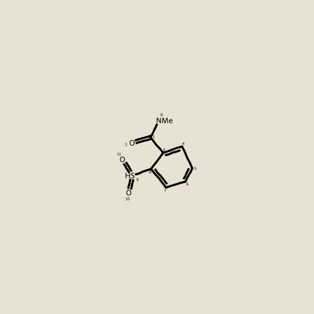 CNC(=O)c1ccccc1[SH](=O)=O